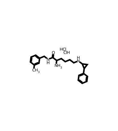 Cc1cccc(CNC(=O)C(N)CCCCNC2CC2c2ccccc2)c1.Cl.Cl